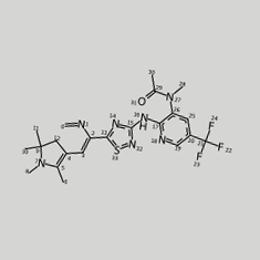 C=N/C(=C\C1=C(C)N(C)C(C)(C)C1)c1nc(Nc2ncc(C(F)(F)F)cc2N(C)C(C)=O)ns1